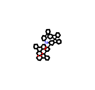 c1ccc(-c2cccc(N(c3ccc4c5ccccc5c5ccccc5c4c3)c3cc4c(cc3-c3ccc(-c5cc6ccccc6c6ccccc56)cc3)-c3ccccc3C43c4ccccc4-c4ccccc43)c2)cc1